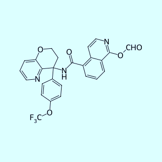 O=COc1nccc2c(C(=O)NC3(c4ccc(OC(F)(F)F)cc4)CCOc4cccnc43)cccc12